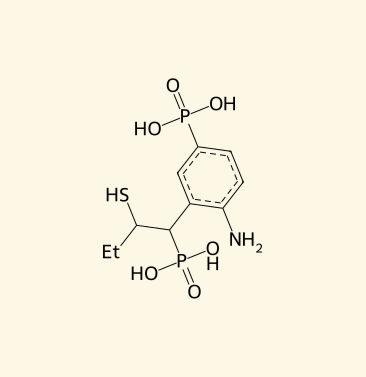 CCC(S)C(c1cc(P(=O)(O)O)ccc1N)P(=O)(O)O